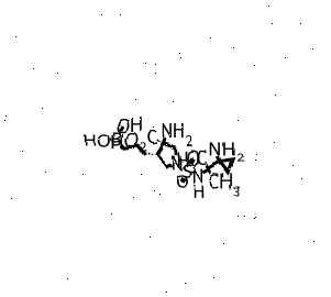 CC(C)(NS(=O)(=O)N1C[C@H](CCCB(O)O)[C@](N)(C(=O)O)C1)C1(N)CC1